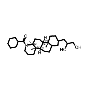 C[C@]12CC[C@H]3[C@H](CCC4CC(CC(O)CO)CC[C@]43C)[C@@H]1CCCN2C(=O)C1CCCCC1